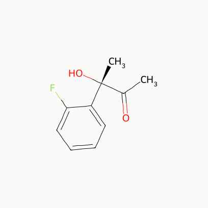 CC(=O)[C@@](C)(O)c1ccccc1F